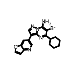 Nc1c(Br)c(C2CCCCC2)nc2c(-c3cnc4ccoc4c3)cnn12